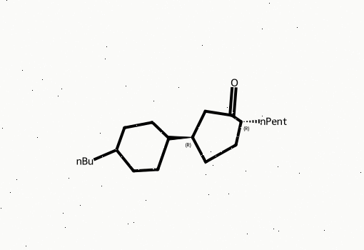 CCCCC[C@@H]1CC[C@@H](C2CCC(CCCC)CC2)CC1=O